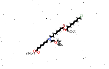 CCCCCCCCCOC(=O)CCCCCCCN(CCCCCCCC(=O)OC(CCCCCCCC)CCCCCCCCCl)CCO[Si](C)(C)C(C)(C)C